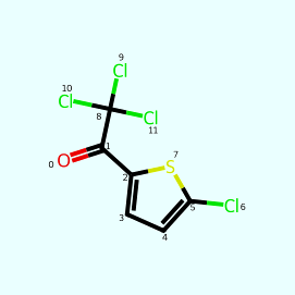 O=C(c1ccc(Cl)s1)C(Cl)(Cl)Cl